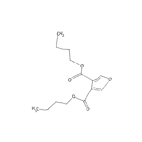 CCCCOC(=O)c1cocc1C(=O)OCCCC